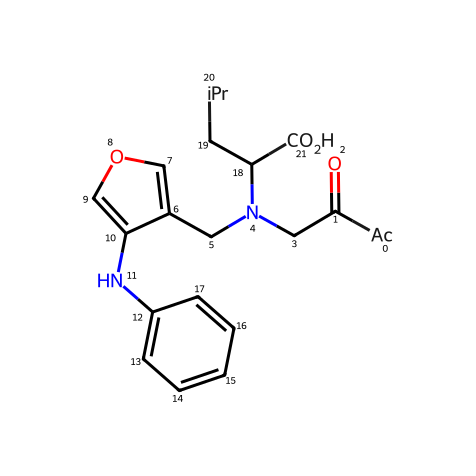 CC(=O)C(=O)CN(Cc1cocc1Nc1ccccc1)C(CC(C)C)C(=O)O